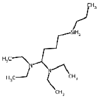 CCC[SiH2]CCCC(N(CC)CC)N(CC)CC